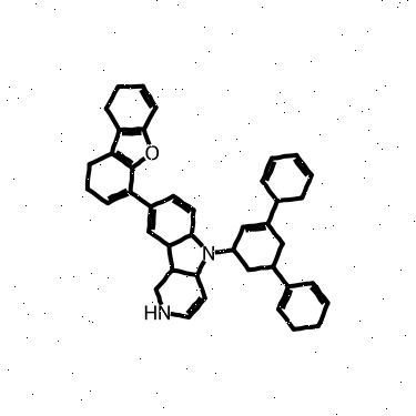 C1=CCC(C2=CC(N3C4C=CC(C5=CCCc6c5oc5c6CCC=C5)=CC4C4CNC=CC43)CC(C3=CCCC=C3)C2)C=C1